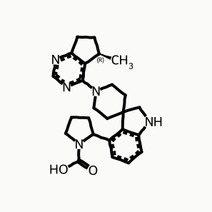 C[C@@H]1CCc2ncnc(N3CCC4(CC3)CNc3cccc(C5CCCN5C(=O)O)c34)c21